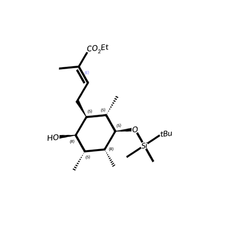 CCOC(=O)/C(C)=C/C[C@H]1[C@H](C)[C@@H](O[Si](C)(C)C(C)(C)C)[C@H](C)[C@H](C)[C@H]1O